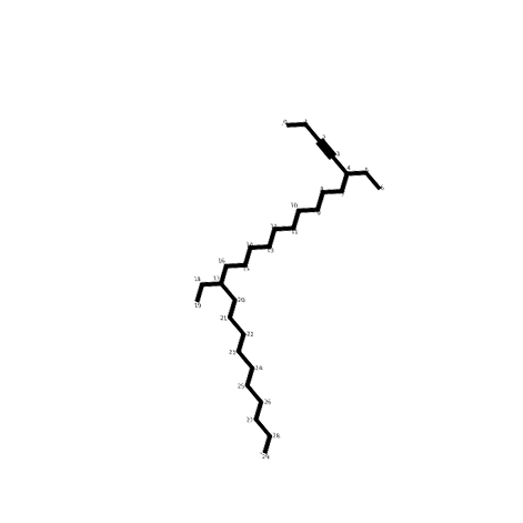 [CH2]CC#CC(CC)CCCCCCCCCCC(CC)CCCCCCCCC[CH2]